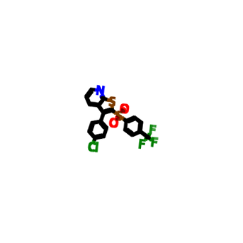 O=S(=O)(c1ccc(C(F)(F)F)cc1)c1sc2ncccc2c1-c1ccc(Cl)cc1